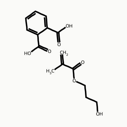 C=C(C)C(=O)OCCCO.O=C(O)c1ccccc1C(=O)O